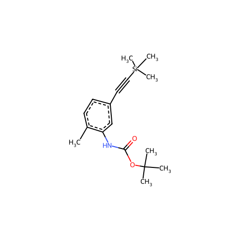 Cc1ccc(C#C[Si](C)(C)C)cc1NC(=O)OC(C)(C)C